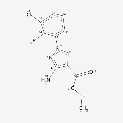 CCOC(=O)c1cn(-c2cccc(Cl)c2F)nc1N